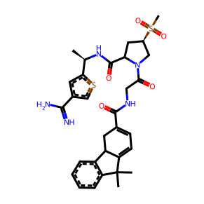 C[C@@H](NC(=O)C1C[C@@H](S(C)(=O)=O)CN1C(=O)CNC(=O)C1=CC=C2C(C1)c1ccccc1C2(C)C)c1cc(C(=N)N)cs1